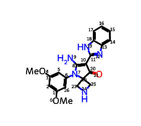 COc1cc(OC)cc(N2C(N)=C(c3nc4ccccc4[nH]3)C(=O)C23CNC3)c1